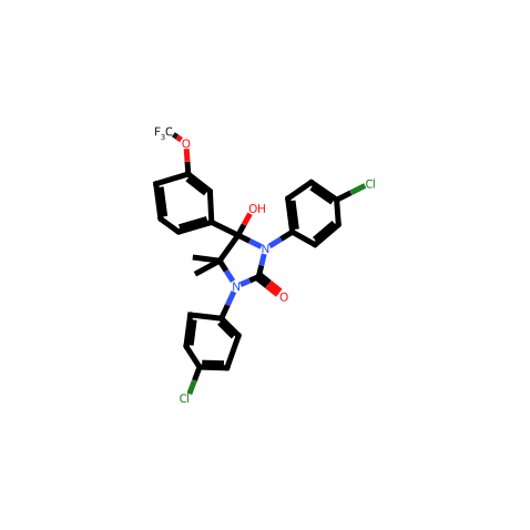 CC1(C)N(c2ccc(Cl)cc2)C(=O)N(c2ccc(Cl)cc2)C1(O)c1cccc(OC(F)(F)F)c1